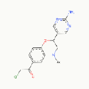 CC(=O)N1CC(c2cnc(N)nc2)Oc2ccc(C(=O)CCl)cc21